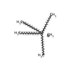 CCCCCCCCCCCCCCCCCC[N+](CCCCCCCCCCCCCCCCCC)(CCCCCCCCCCCCCCCCCC)CCCCCCCCCCCCCCCCCC.C[O-]